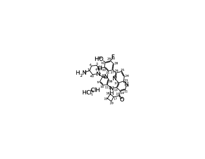 Cl.Cl.NC1CCCN(c2ccc(Nc3c(C(=O)C4CCC4)cnc4ccc(-c5cc(F)c(O)c(Cl)c5)nc34)cn2)C1